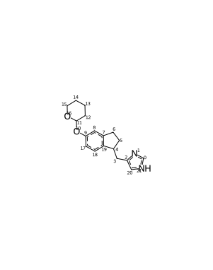 c1nc(CC2CCc3cc(OC4CCCCO4)ccc32)c[nH]1